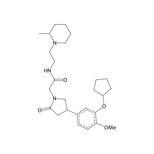 COc1ccc(C2CC(=O)N(CC(=O)NCCN3CCCCC3C)C2)cc1OC1CCCC1